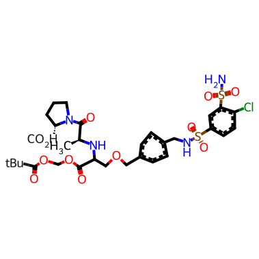 C[C@H](NC(COCc1ccc(CNS(=O)(=O)c2ccc(Cl)c(S(N)(=O)=O)c2)cc1)C(=O)OCOC(=O)C(C)(C)C)C(=O)N1CCC[C@H]1C(=O)O